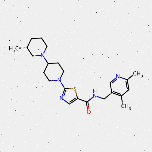 Cc1cc(C)c(CNC(=O)c2cnc(N3CCC(N4CCC[C@@H](C)C4)CC3)s2)cn1